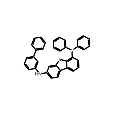 c1ccc(-c2cccc(Nc3ccc4c(c3)sc3c(N(c5ccccc5)c5ccccc5)cccc34)c2)cc1